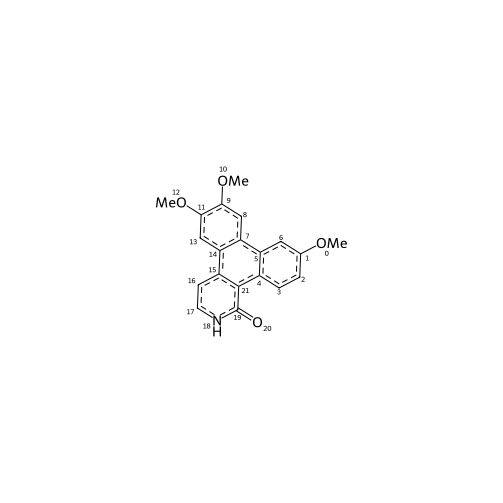 COc1ccc2c(c1)c1cc(OC)c(OC)cc1c1cc[nH]c(=O)c21